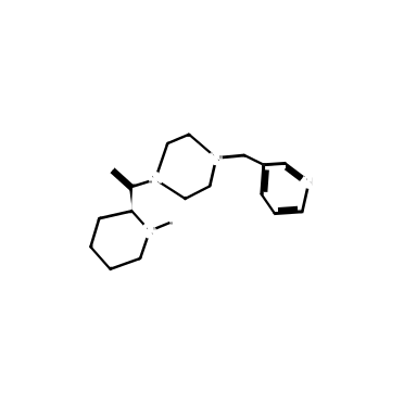 CCN1CCCC[C@H]1C(=O)N1CCN(Cc2cccnc2)CC1